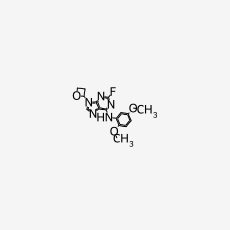 COc1ccc(OC)c(Nc2nc(F)nc3c2ncn3C2CCO2)c1